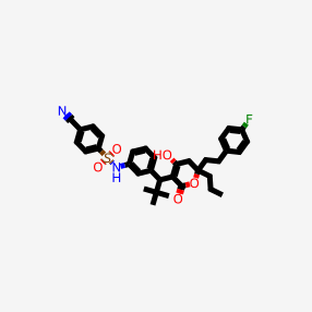 CCCC1(CCc2ccc(F)cc2)CC(O)=C(C(c2cccc(NS(=O)(=O)c3ccc(C#N)cc3)c2)C(C)(C)C)C(=O)O1